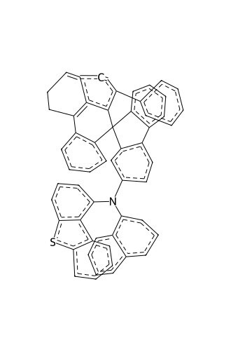 C1=c2ccc(-c3ccccc3)c3c2=C(CC1)c1ccccc1C31c2ccccc2-c2ccc(N(c3cccc4ccccc34)c3cccc4sc5ccccc5c34)cc21